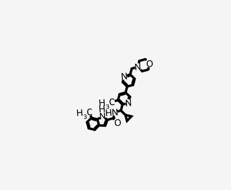 Cc1cc(-c2ccc(CN3CCOCC3)nc2)cnc1C(NC(=O)c1cc2cccc(C)c2[nH]1)C1CC1